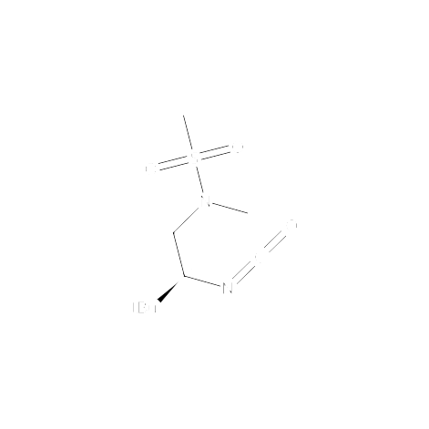 CN(C[C@@H](N=C=O)C(C)(C)C)S(C)(=O)=O